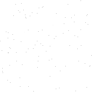 CO.COP(=S)(OC)Oc1ccc(SC)c(C)c1